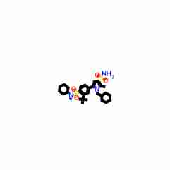 Cc1c(S(N)(=O)=O)cc(-c2ccc(S(=O)(=O)N(C)C3CCCCC3)c(C(C)(C)C)c2)n1CC1CCCCC1